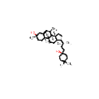 C[C@@H]1C=C2C[C@@](C)(O)CC[C@]2(C)[C@H]2CC[C@]3(C)[C@@H]([C@H](C)CCC4(O)CCC(C)(C)CC4)CC[C@H]3[C@H]12